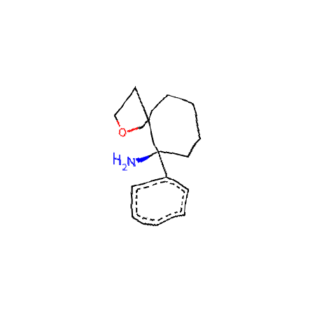 N[C@]1(c2ccccc2)CCCCC12CCO2